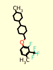 Cc1ccc(OCC2CCC(C3CCC(C)CC3)CC2)c(F)c1C(F)(F)F